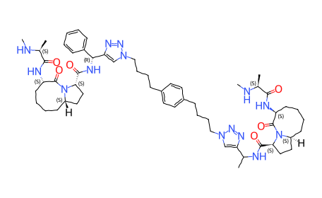 CN[C@@H](C)C(=O)N[C@H]1CCCC[C@H]2CC[C@@H](C(=O)NC(C)c3cn(CCCCc4ccc(CCCCn5cc([C@H](NC(=O)[C@@H]6CC[C@@H]7CCCC[C@H](NC(=O)[C@H](C)NC)C(=O)N76)c6ccccc6)nn5)cc4)nn3)N2C1=O